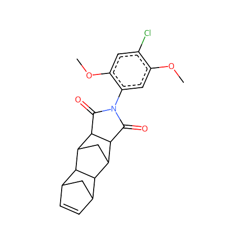 COc1cc(N2C(=O)C3C4CC(C3C2=O)C2C3C=CC(C3)C42)c(OC)cc1Cl